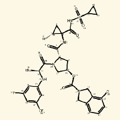 CC[C@@H]1CC1(NC(=O)[C@@H]1C[C@@H](OC(=O)N2Cc3cccc(Cl)c3C2)CN1C(=O)[C@@H](Nc1cc(F)cc(C(F)(F)F)c1)C(C)(C)C)C(=O)NS(=O)(=O)C1CC1